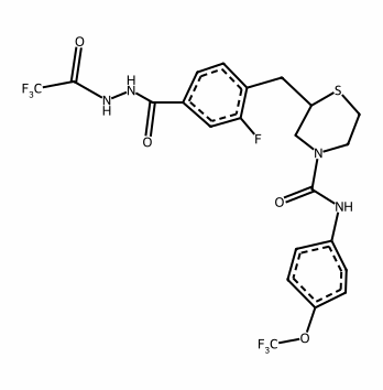 O=C(NNC(=O)C(F)(F)F)c1ccc(CC2CN(C(=O)Nc3ccc(OC(F)(F)F)cc3)CCS2)c(F)c1